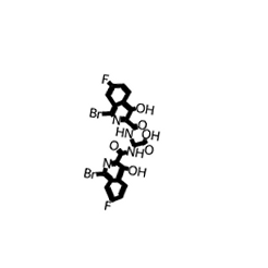 O=C(NC(NC(=O)c1nc(Br)c2cc(F)ccc2c1O)C(=O)O)c1nc(Br)c2cc(F)ccc2c1O